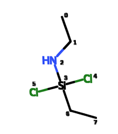 CCN[Si](Cl)(Cl)CC